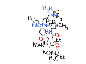 C=C(N)NCCC[C@@H](NC(=C)[C@@H](C=C(C)C)NC(=O)CC(C)(CC)OCCC(C)(CC)NC(C)=O)C(=C)Nc1ccc(CCC(=O)NC)cc1